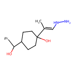 C/C(=C\NN)C1(O)CCC(C(O)C(C)C)CC1